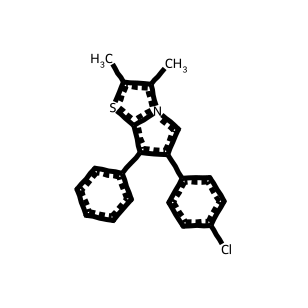 Cc1sc2c(-c3ccccc3)c(-c3ccc(Cl)cc3)cn2c1C